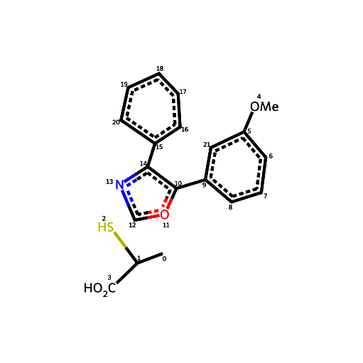 CC(S)C(=O)O.COc1cccc(-c2ocnc2-c2ccccc2)c1